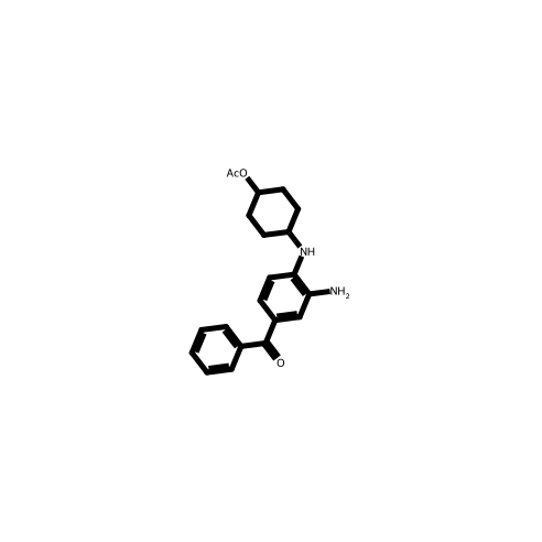 CC(=O)OC1CCC(Nc2ccc(C(=O)c3ccccc3)cc2N)CC1